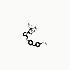 Cc1ccc(Cc2ccc(OCC3CCCN3C(=O)OC(C)(C)C)cc2)cc1